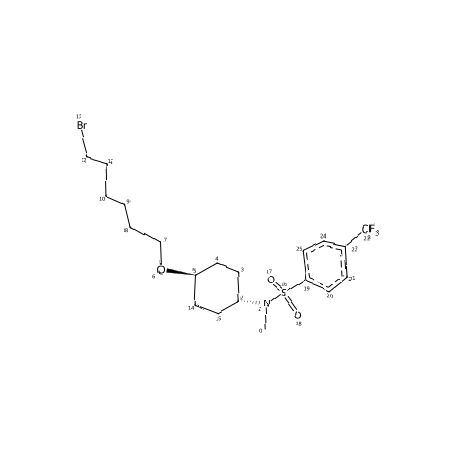 CN([C@H]1CC[C@H](OCCCCCCBr)CC1)S(=O)(=O)c1ccc(C(F)(F)F)cc1